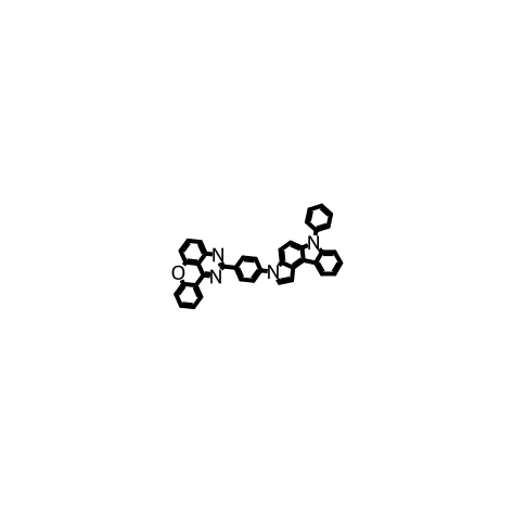 c1ccc(-n2c3ccccc3c3c4ccn(-c5ccc(-c6nc7c8c(cccc8n6)Oc6ccccc6-7)cc5)c4ccc32)cc1